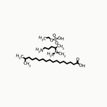 CC(C)CCCCCCCCCCCCCCC(=O)O.CC(CCCN)N(C)C.CCOS(=O)(=O)O